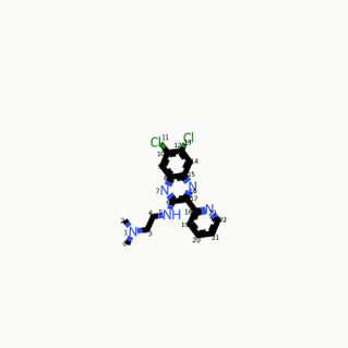 CN(C)CCNc1nc2cc(Cl)c(Cl)cc2nc1-c1ccccn1